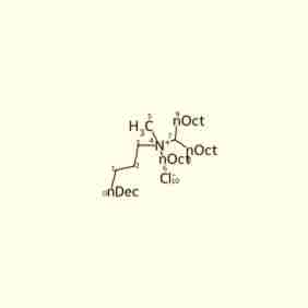 CCCCCCCCCCCCC[N+](C)(CCCCCCCC)C(CCCCCCCC)CCCCCCCC.[Cl-]